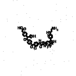 NCCNc1ccc(-c2[nH]nc(C(F)(F)F)c2Cc2cnc(C(=O)Nc3ccc(C(=O)N4CCN(C(=O)C(C5CCN(CC(=O)O)CC5)C5CNC5)CC4)c(Cl)c3)[nH]2)cn1